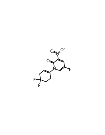 O=c1c([N+](=O)[O-])cc(F)cn1C1=CCC(F)(F)CC1